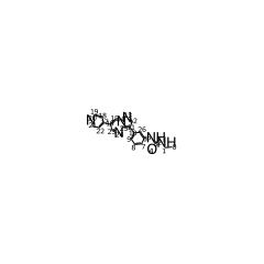 CCNC(=O)Nc1cccc(-c2cnn3cc(-c4ccncc4)cnc23)c1